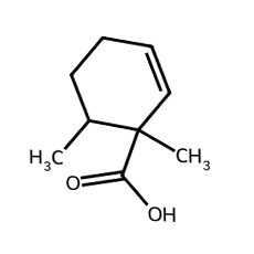 CC1CCC=CC1(C)C(=O)O